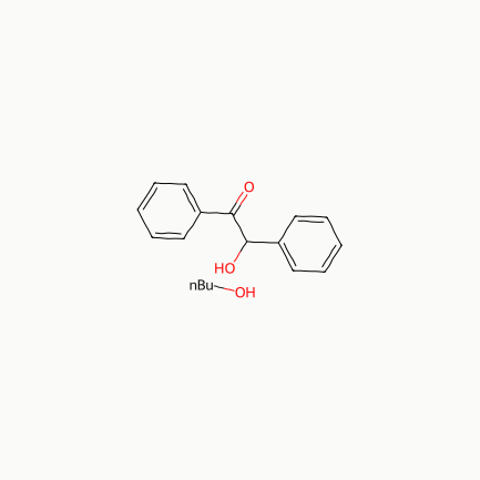 CCCCO.O=C(c1ccccc1)C(O)c1ccccc1